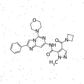 Cn1ncc(C(=O)N2CCC2)c1C(=O)Nc1cc2nc(-c3ccccc3)cn2c(N2CCOCC2)n1